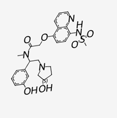 CN(C(=O)COc1ccc(NS(C)(=O)=O)c2ncccc12)C(CN1CC[C@H](O)C1)c1cccc(O)c1